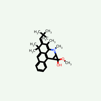 COC1(O)C2c3c4c(cc5ccccc35)C(C)(C)/C(=C/C(C)(C)C)C(C)=C4N(C)C21